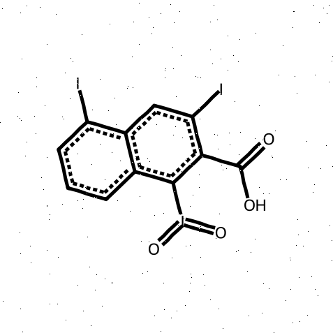 O=C(O)c1c(I)cc2c(I)cccc2c1I(=O)=O